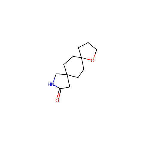 O=C1CC2(CCC3(CCCO3)CC2)CN1